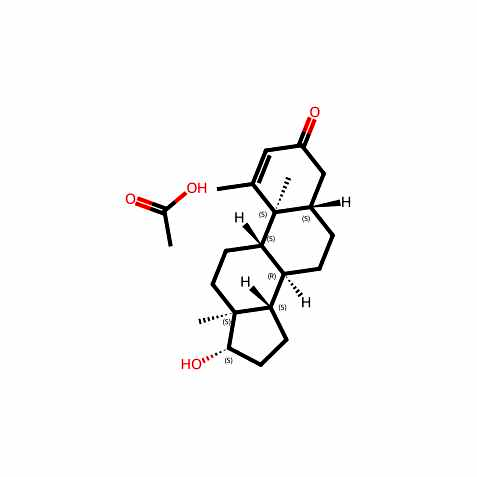 CC(=O)O.CC1=CC(=O)C[C@@H]2CC[C@H]3[C@@H]4CC[C@H](O)[C@@]4(C)CC[C@@H]3[C@@]12C